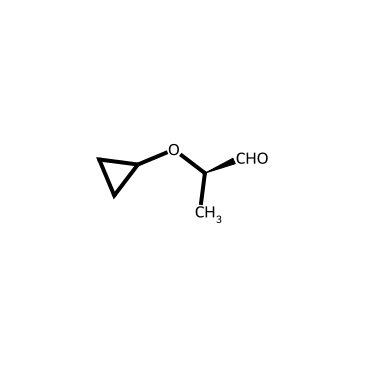 C[C@H](C=O)OC1CC1